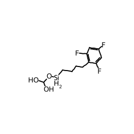 OC(O)O[SiH2]CCCCc1c(F)cc(F)cc1F